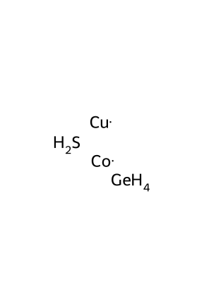 S.[Co].[Cu].[GeH4]